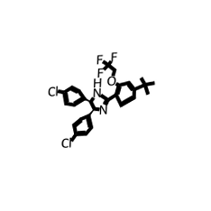 CC(C)(C)c1ccc(C2=N[C@@H](c3ccc(Cl)cc3)[C@@H](c3ccc(Cl)cc3)N2)c(OCC(F)(F)F)c1